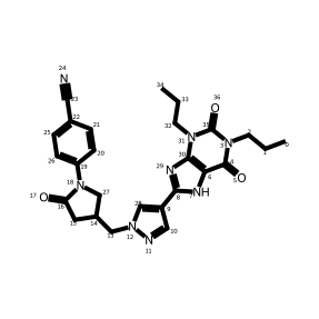 CCCn1c(=O)c2[nH]c(-c3cnn(CC4CC(=O)N(c5ccc(C#N)cc5)C4)c3)nc2n(CCC)c1=O